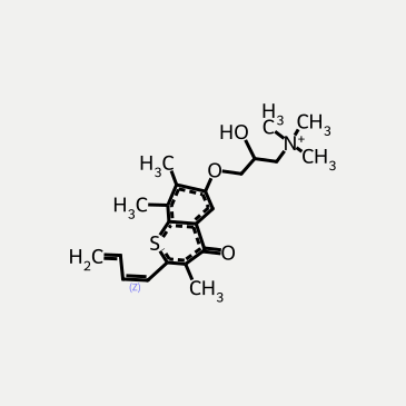 C=C/C=C\c1sc2c(C)c(C)c(OCC(O)C[N+](C)(C)C)cc2c(=O)c1C